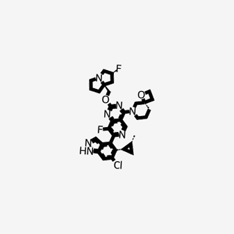 C[C@@H]1C[C@@H]1c1c(Cl)cc2[nH]ncc2c1-c1ncc2c(N3CCC[C@]4(CCO4)C3)nc(OC[C@@]34CCCN3C[C@H](F)C4)nc2c1F